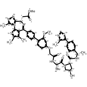 COC(=O)C[C@@H]1N=C(c2ccc(-c3ccc(OCC(=O)N[C@H](C(=O)N4C[C@H](O)C[C@H]4C(=O)N[C@@H](C)c4ccc(-c5scnc5C)cc4)C(C)(C)C)cc3OC(F)(F)F)cc2)c2c(sc(C)c2C)-n2c(C)nnc21